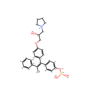 CCC(=C(c1ccc(OCC(O)CN2CCCC2)cc1)c1ccc(OP(O)O)cc1)c1ccccc1